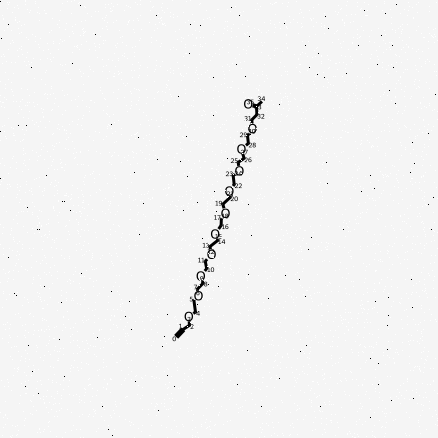 C#CCOCCOCCOCCOCCOCCOCCOCCOCCOCCOCCC(C)=O